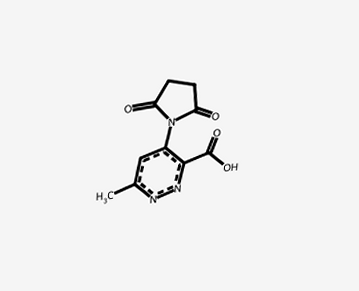 Cc1cc(N2C(=O)CCC2=O)c(C(=O)O)nn1